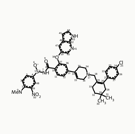 CNc1ccc([S+]([O-])NC(=O)c2ccc(C3=CCN(CC4=C(c5ccc(Cl)cc5)CC(C)(C)CC4)CC3)cc2Oc2cnc3[nH]ccc3c2)cc1[N+](=O)[O-]